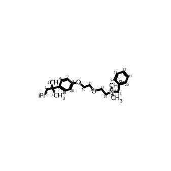 CC(C)CC(C)(C)c1ccc(OCCOCC[N+](C)(C)Cc2ccccc2)cc1